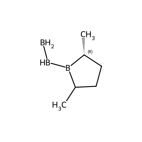 BBB1C(C)CC[C@H]1C